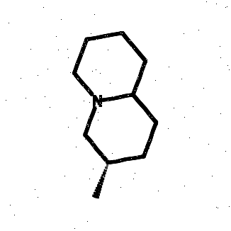 C[C@H]1CCC2CCCCN2C1